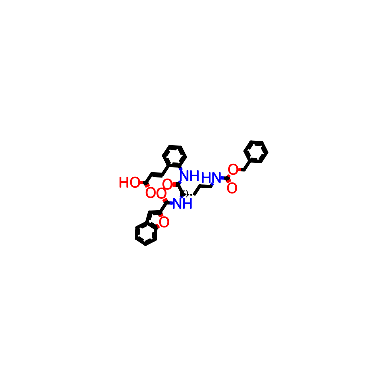 O=C(O)C=Cc1ccccc1NC(=O)[C@H](CCCNC(=O)OCc1ccccc1)NC(=O)c1cc2ccccc2o1